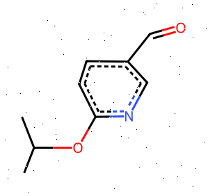 CC(C)Oc1ccc(C=O)cn1